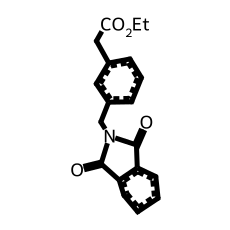 CCOC(=O)Cc1cccc(CN2C(=O)c3ccccc3C2=O)c1